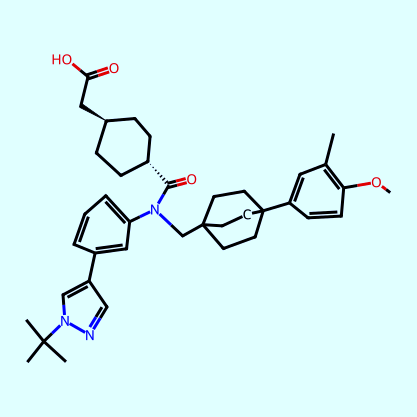 COc1ccc(C23CCC(CN(c4cccc(-c5cnn(C(C)(C)C)c5)c4)C(=O)[C@H]4CC[C@H](CC(=O)O)CC4)(CC2)CC3)cc1C